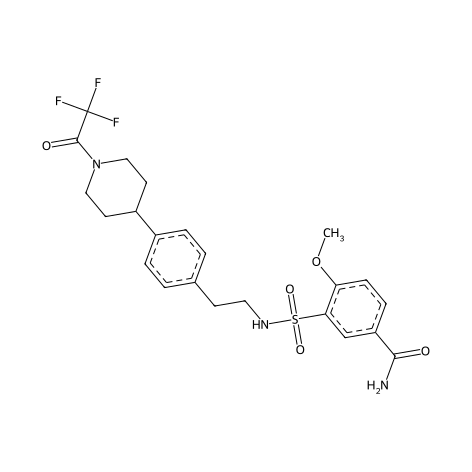 COc1ccc(C(N)=O)cc1S(=O)(=O)NCCc1ccc(C2CCN(C(=O)C(F)(F)F)CC2)cc1